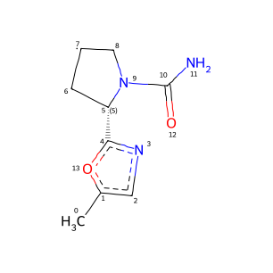 Cc1cnc([C@@H]2C[CH]CN2C(N)=O)o1